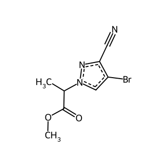 COC(=O)C(C)n1cc(Br)c(C#N)n1